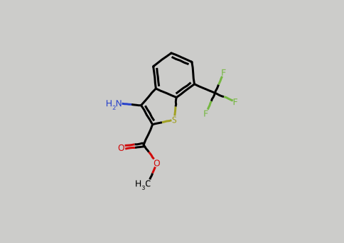 COC(=O)c1sc2c(C(F)(F)F)cccc2c1N